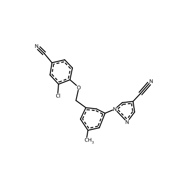 Cc1cc(COc2ccc(C#N)cc2Cl)cc(-n2cc(C#N)cn2)c1